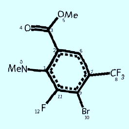 CNc1c(C(=O)OC)cc(C(F)(F)F)c(Br)c1F